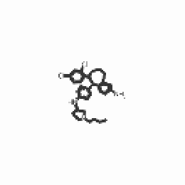 Nc1ccc2c(c1)CCCC(c1ccc(Cl)cc1Cl)=C2c1ccc(NC2CCN(CCCF)C2)cc1